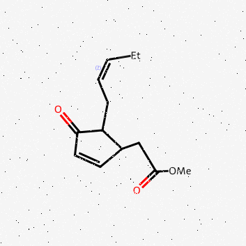 CC/C=C\CC1C(=O)C=CC1CC(=O)OC